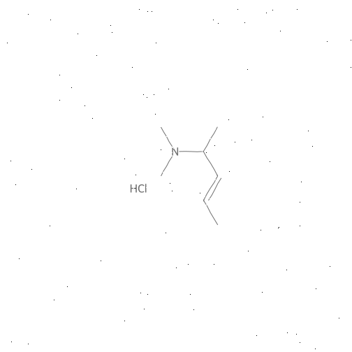 C/C=C/C(C)N(C)C.Cl